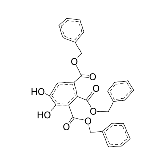 O=C(OCc1ccccc1)c1cc(O)c(O)c(C(=O)OCc2ccccc2)c1C(=O)OCc1ccccc1